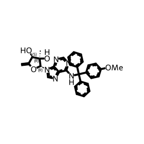 C=C1O[C@@H](n2cnc3c(NC(c4ccccc4)(c4ccccc4)c4ccc(OC)cc4)ncnc32)[C@](C)(O)[C@@H]1O